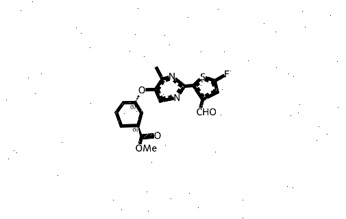 COC(=O)[C@H]1CCC[C@H](Oc2cnc(-c3sc(F)cc3C=O)nc2C)C1